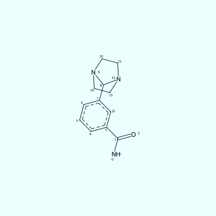 [NH]C(=O)c1cccc(C2N3CCN2CC3)c1